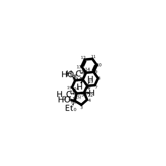 CC[C@@]1(O)CC[C@H]2[C@@H]3CCC4=CCC=C[C@]4(C)[C@H]3[C@@H](O)C[C@@]21C